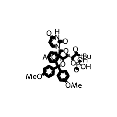 COc1ccc(C(O[C@H]2[C@@H](OC(C)=O)[C@H](n3ccc(=O)[nH]c3=O)O[C@@H]2C(OP(=O)(O)O)C(=O)C(C)(C)C)(c2ccccc2)c2ccc(OC)cc2)cc1